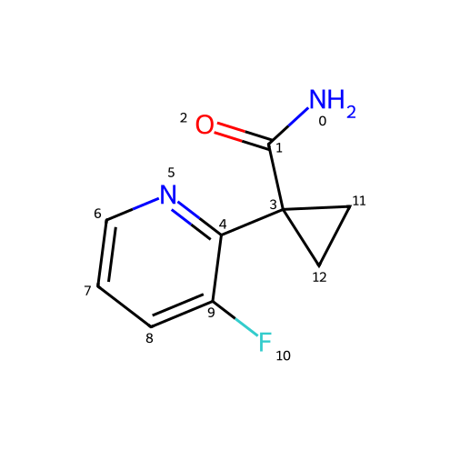 NC(=O)C1(c2ncccc2F)CC1